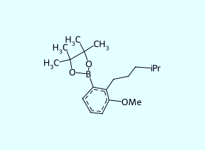 COc1cccc(B2OC(C)(C)C(C)(C)O2)c1CCCC(C)C